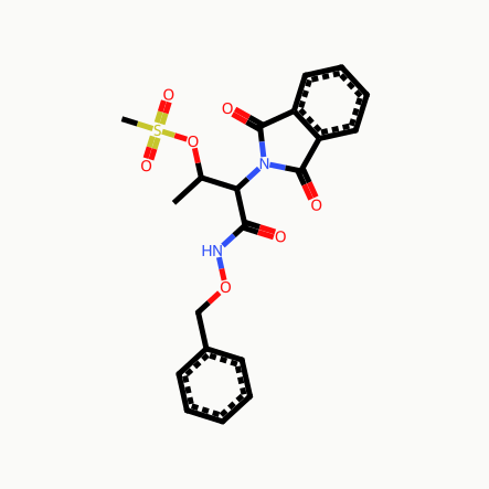 CC(OS(C)(=O)=O)C(C(=O)NOCc1ccccc1)N1C(=O)c2ccccc2C1=O